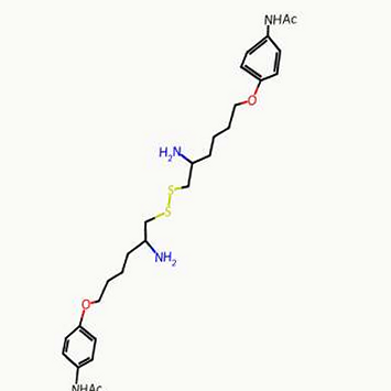 CC(=O)Nc1ccc(OCCCCC(N)CSSCC(N)CCCCOc2ccc(NC(C)=O)cc2)cc1